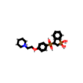 O=S(=O)(c1ccc(OCCN2CCCCC2)cc1)C1CS(O)(O)c2ccccc21